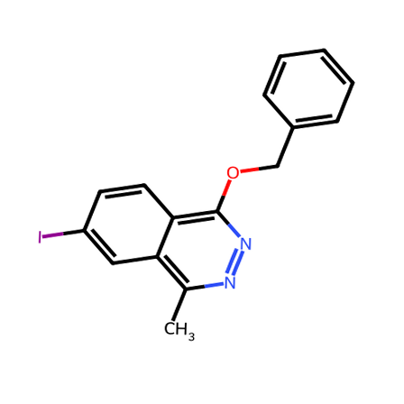 Cc1nnc(OCc2ccccc2)c2ccc(I)cc12